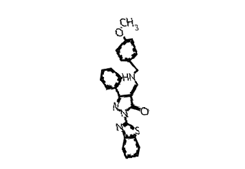 COc1ccc(CN/C=C2/C(=O)N(c3nc4ccccc4s3)N=C2c2ccccc2)cc1